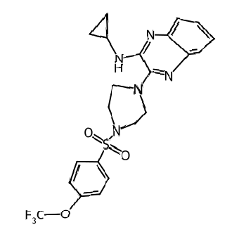 O=S(=O)(c1ccc(OC(F)(F)F)cc1)N1CCN(c2nc3ccccc3nc2NC2CC2)CC1